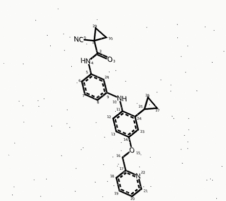 N#CC1(C(=O)Nc2cccc(Nc3ccc(OCc4ccccn4)cc3C3CC3)c2)CC1